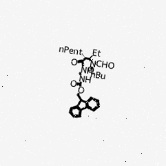 CCCCC[C@@H](C(=O)NCNC(=O)OCC1c2ccccc2-c2ccccc21)[C@@H](CC)N(C=O)OCCCC